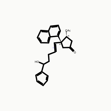 CC(=O)O[C@@H]1CC(=O)C[C@@]1(/C=C/CCC(O)c1ccccc1)c1cccc2ccccc12